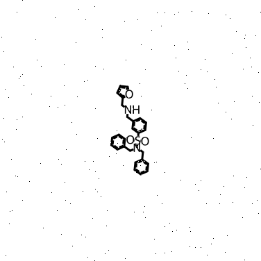 O=S(=O)(c1cccc(CNCc2ccco2)c1)N(Cc1ccccc1)Cc1ccccc1